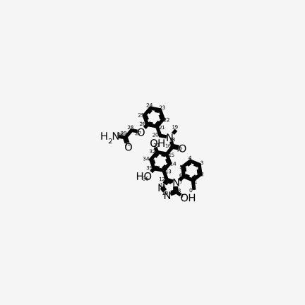 Cc1ccccc1-n1c(O)nnc1-c1cc(C(=O)N(C)Cc2ccccc2OCC(N)=O)c(O)cc1O